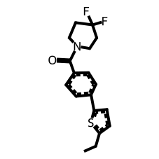 CCc1ccc(-c2ccc(C(=O)N3CCC(F)(F)CC3)cc2)s1